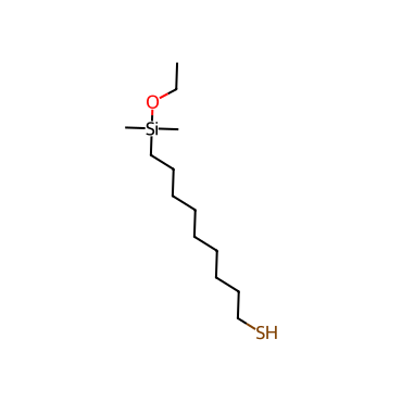 CCO[Si](C)(C)CCCCCCCCCS